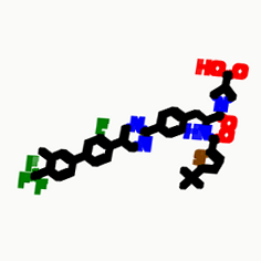 Cc1cc(-c2ccc(-c3cnc(-c4ccc(C[C@H](NC(=O)c5ccc(C(C)(C)C)s5)C(=O)N5CC(C(=O)O)C5)cc4)nc3)c(F)c2)ccc1C(F)(F)F